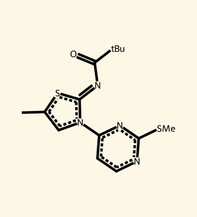 CSc1nccc(-n2cc(C)sc2=NC(=O)C(C)(C)C)n1